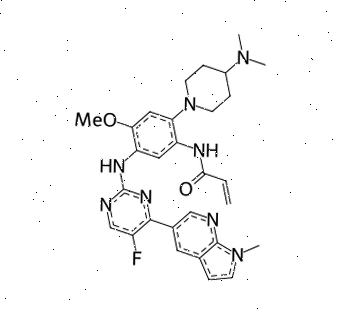 C=CC(=O)Nc1cc(Nc2ncc(F)c(-c3cnc4c(ccn4C)c3)n2)c(OC)cc1N1CCC(N(C)C)CC1